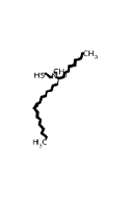 CCCCCCCC/C=C\CCCCCCC[C@H](CCCCCCCCC)N(C)CCS